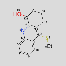 CCSc1c2c(nc3ccccc13)C(O)CCC2